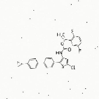 C[C@@H](OC(=O)Nc1cc(Cl)sc1-c1ccc(-c2ccc(C3CC3)cc2)cc1)c1cc(F)ccc1F